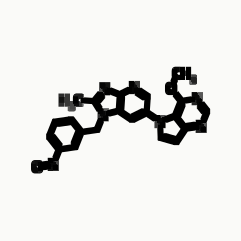 COc1ncnc2ccn(-c3cnc4nc(C)n(Cc5cccc(N=O)c5)c4c3)c12